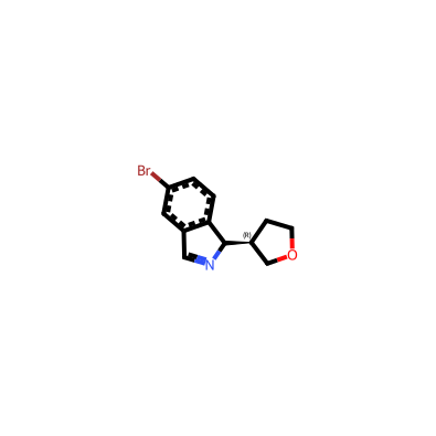 Brc1ccc2c(c1)C=NC2[C@H]1CCOC1